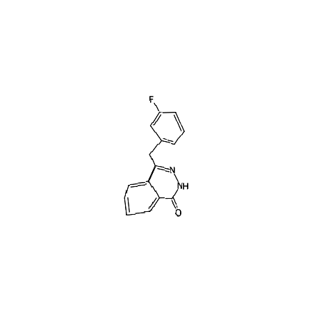 O=c1[nH]nc(Cc2cccc(F)c2)c2ccccc12